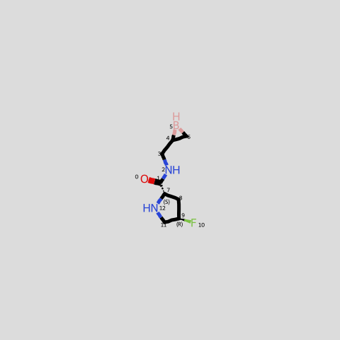 O=C(NCC1BC1)[C@@H]1C[C@@H](F)CN1